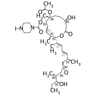 CC[C@H](O)[C@@H](C)[C@H]1O[C@@H]1C[C@H](C)/C=C/C=C(\C)[C@H]1OC(=O)C[C@H](O)CC[C@@](C)(OC(C)=O)[C@@H](OC(=O)N2CCN(I)CC2)/C=C/[C@@H]1C